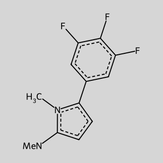 CNc1ccc(-c2cc(F)c(F)c(F)c2)n1C